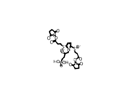 O=C(CCP(=O)(O)O)Cn1c([S+]([O-])CCC(=O)ON2C(=O)CCC2=O)ccc1[S+]([O-])CCC(=O)ON1C(=O)CCC1=O